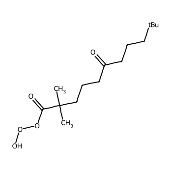 CC(C)(C)CCCC(=O)CCCC(C)(C)C(=O)OOO